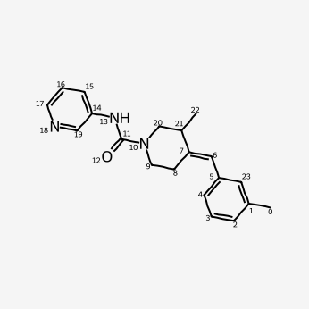 Cc1cccc(/C=C2\CCN(C(=O)Nc3cccnc3)CC2C)c1